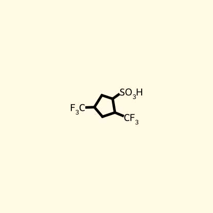 O=S(=O)(O)C1CC(C(F)(F)F)CC1C(F)(F)F